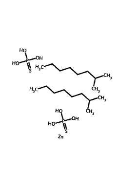 CCCCCCC(C)C.CCCCCCC(C)C.OP(O)(O)=S.OP(O)(O)=S.[Zn]